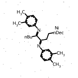 CCCCCCCCCCCCC(=N\c1ccc(C)c(C)c1)/C(CCCC)=N/c1ccc(C)c(C)c1.[Ni]